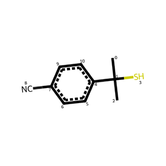 CC(C)(S)c1ccc(C#N)cc1